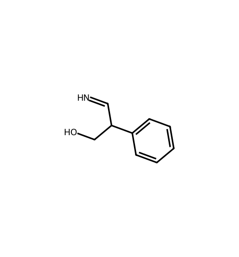 N=CC(CO)c1ccccc1